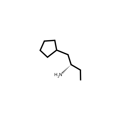 CC[C@H](N)CC1CCCC1